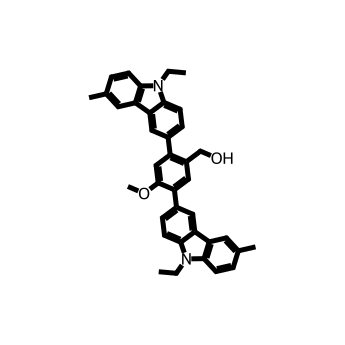 CCn1c2ccc(C)cc2c2cc(-c3cc(OC)c(-c4ccc5c(c4)c4cc(C)ccc4n5CC)cc3CO)ccc21